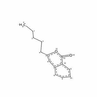 [CH2]CCCCc1cc2ccccc2c(=O)o1